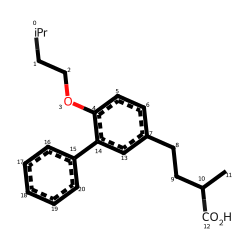 CC(C)CCOc1ccc(CCC(C)C(=O)O)cc1-c1ccccc1